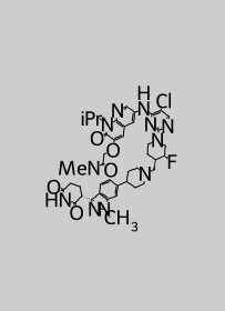 CNC(=O)COc1cc2cc(Nc3nc(N4CC[C@H](CN5CCC(c6ccc7c([C@H]8CCC(=O)NC8=O)nn(C)c7c6)CC5)[C@H](F)C4)ncc3Cl)cnc2n(C(C)C)c1=O